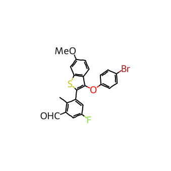 COc1ccc2c(Oc3ccc(Br)cc3)c(-c3cc(F)cc(C=O)c3C)sc2c1